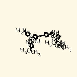 COC(=O)N[C@H](C(=O)N1CCC[C@H]1c1nc(-c2ccc(C#Cc3ccc(Sc4ccc(N)cc4)c(Nc4ncnc5nc(C(C)C)ccc45)c3)cc2)c[nH]1)C(C)C